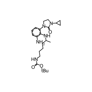 CC(CCCCNC(=O)OC(C)(C)C)Nc1c(N)cccc1N1CCN(C2CC2)C1=O